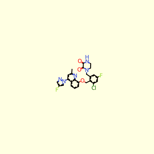 Cc1cc(-n2cc(F)cn2)c2cccc(OCc3c(Cl)cc(F)cc3CN3CCNC(=O)C3=O)c2n1